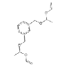 C=COC(C)OCc1cccc(COC(C)OC=C)c1